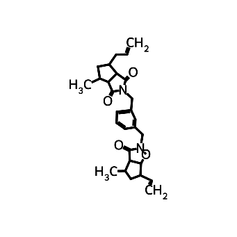 C=CCC1CC(C)C2C(=O)N(Cc3cccc(CN4OC5C(C=C)CC(C)C5C4=O)c3)C(=O)C12